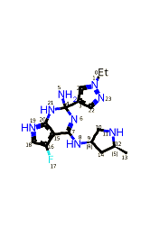 CCn1cc(C2(N)N=C(N[C@H]3CN[C@@H](C)C3)c3c(F)c[nH]c3N2)cn1